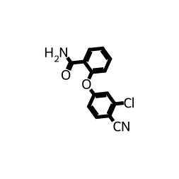 N#Cc1ccc(Oc2ccccc2C(N)=O)cc1Cl